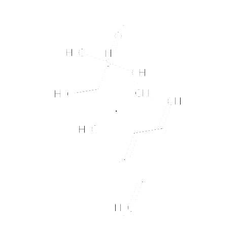 C=C/C=C(\C=C)C(C)(C)C(C)[SH](C)(C)=O